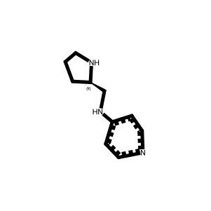 c1cc(NC[C@H]2CCCN2)ccn1